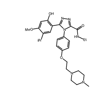 CCNC(=O)c1nnc(-c2cc(C(C)C)c(OC)cc2O)n1-c1ccc(OCCN2CCN(C)CC2)cc1